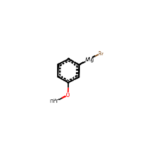 CCCOc1ccc[c]([Mg][Br])c1